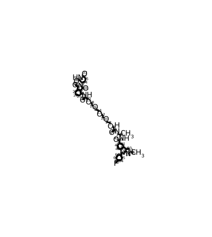 CC(CNC(=O)COCCOCCOCCOCCOCC(=O)Nc1cccc2c1C(=O)N(C1CCC(=O)NC1=O)C2=O)NC(=O)c1ccc2c(c1)c1cn(C)nc1n2-c1ccc(F)cc1